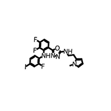 Cn1cccc1CCNc1nnc(-c2ccc(F)c(F)c2Nc2ccc(I)cc2F)o1